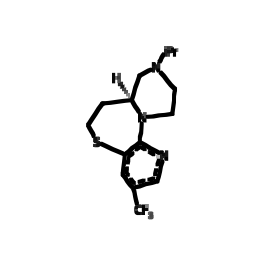 CC(C)N1CCN2c3ncc(C(F)(F)F)cc3SCC[C@H]2C1